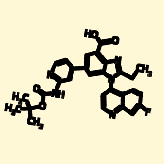 CCc1nc2c(C(=O)O)cc(-c3ccnc(NC(=O)OC(C)(C)C)c3)cc2n1-c1ccnc2cc(F)ccc12